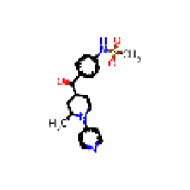 CC1CC(C(=O)c2ccc(NS(C)(=O)=O)cc2)CCN1c1ccncc1